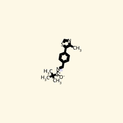 Cc1ncsc1-c1ccc(/C=N/[S@+]([O-])C(C)(C)C)cc1